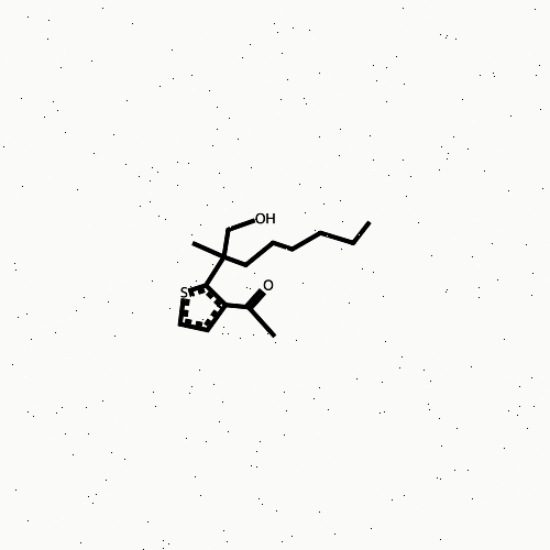 CCCCCCC(C)(CO)c1sccc1C(C)=O